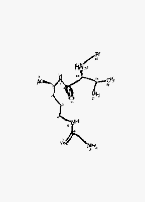 CC(=O)[C@H](CCCNC(=N)N)NC(=O)[C@@H](NC(C)C)C(C)O